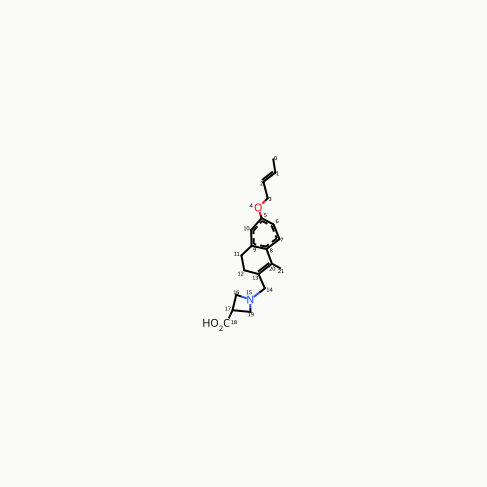 C/C=C/COc1ccc2c(c1)CCC(CN1CC(C(=O)O)C1)=C2C